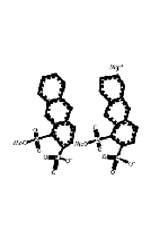 COS(=O)(=O)c1c(S(=O)(=O)[O-])ccc2cc3ccccc3cc12.COS(=O)(=O)c1c(S(=O)(=O)[O-])ccc2cc3ccccc3cc12.[Mg+2]